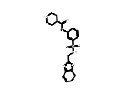 O=C(NC1C=C(S(=O)(=O)NCc2nc3c(s2)C=CCC3)C=CC1)C1CCNCC1